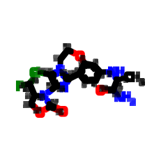 C[C@H](Nc1ccc2c(c1)OCCn1c-2nc(N2C(=O)OCC2C(F)F)c1Cl)C(N)=O